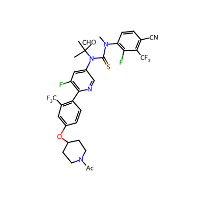 CC(=O)N1CCC(Oc2ccc(-c3ncc(N(C(=S)N(C)c4ccc(C#N)c(C(F)(F)F)c4F)C(C)(C)C=O)cc3F)c(C(F)(F)F)c2)CC1